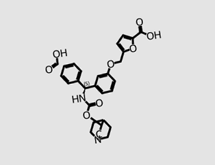 O=C(N[C@@H](c1ccccc1)c1cccc(OCc2ccc(C(=O)O)o2)c1)OC1CN2CCC1CC2.O=CO